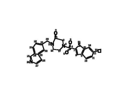 O=C1CN(S(=O)(=O)c2cc3ccc(Cl)cc3s2)CCN1Cc1ccc2cnccc2c1